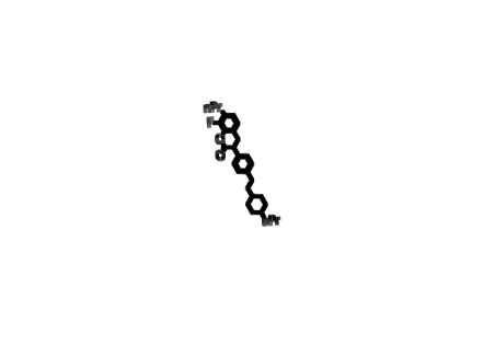 CCCc1ccc2c(c1F)OC(=O)C(c1ccc(CCC3CCC(CCC)CC3)cc1)C2